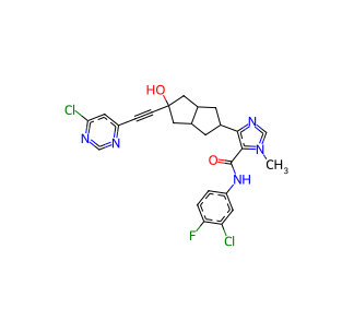 Cn1cnc(C2CC3CC(O)(C#Cc4cc(Cl)ncn4)CC3C2)c1C(=O)Nc1ccc(F)c(Cl)c1